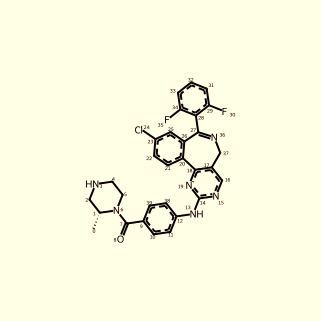 C[C@@H]1CNCCN1C(=O)c1ccc(Nc2ncc3c(n2)-c2ccc(Cl)cc2C(c2c(F)cccc2F)=NC3)cc1